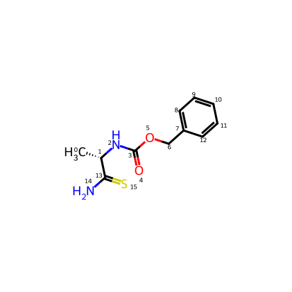 C[C@H](NC(=O)OCc1ccccc1)C(N)=S